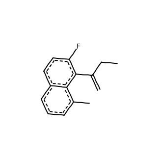 C=C(CC)c1c(F)ccc2cccc(C)c12